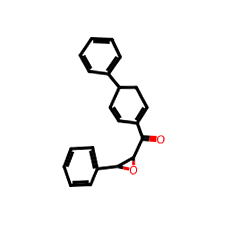 O=C(C1=CCC(c2ccccc2)C=C1)C1OC1c1ccccc1